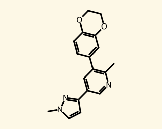 Cc1ncc(-c2ccn(C)n2)cc1-c1ccc2c(c1)OCCO2